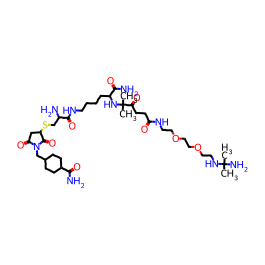 CC(C)(N)NCCOCCOCCNC(=O)CCC(=O)C(C)(C)NC(CCCCNC(=O)C(N)CSC1CC(=O)N(CC2CCC(C(N)=O)CC2)C1=O)C(N)=O